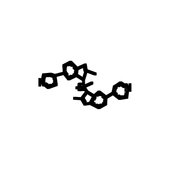 CC1=Cc2ccc(-c3ccncc3)cc2C1[Si](C)(C)C1C(C)=Cc2ccc(-c3ccncc3)cc21